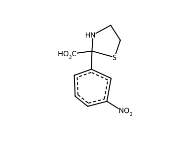 O=C(O)C1(c2cccc([N+](=O)[O-])c2)NCCS1